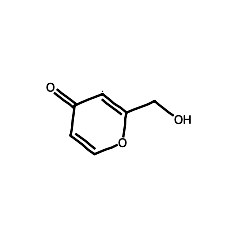 O=c1[c]c(CO)occ1